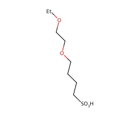 [CH2]COCCOCCCCS(=O)(=O)O